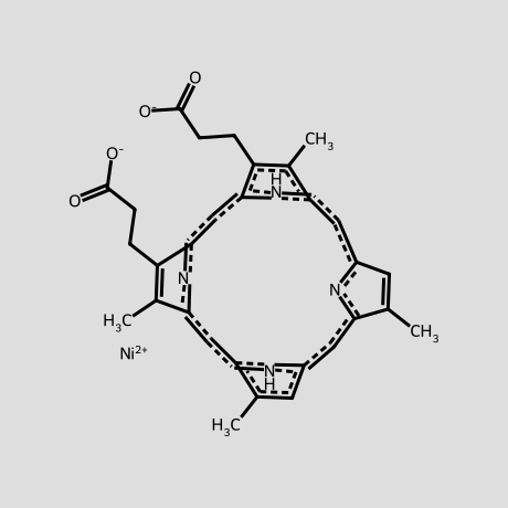 CC1=Cc2cc3[nH]c(cc4nc(cc5[nH]c(cc1n2)cc5C)C(C)=C4CCC(=O)[O-])c(CCC(=O)[O-])c3C.[Ni+2]